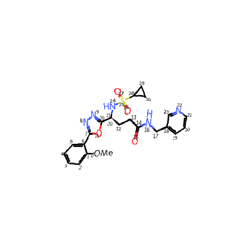 COc1ccccc1-c1nnc([C@H](CCC(=O)NCc2cccnc2)NS(=O)(=O)C2CC2)o1